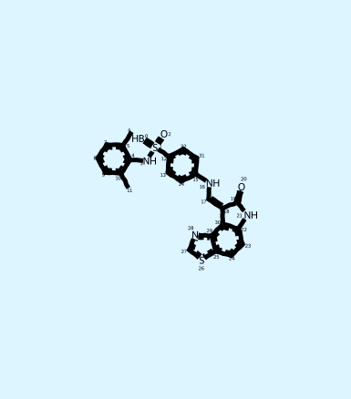 B=S(=O)(Nc1c(C)cccc1C)c1ccc(N/C=C2\C(=O)Nc3ccc4scnc4c32)cc1